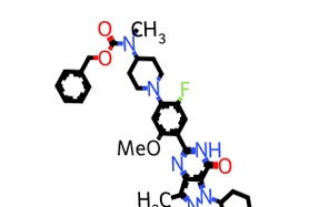 COc1cc(N2CCC(N(C)C(=O)OCc3ccccc3)CC2)c(F)cc1-c1nc2c(C)nn(C3CCCCC3)c2c(=O)[nH]1